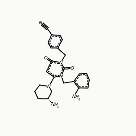 N#Cc1ccc(Cn2c(=O)cc(N3CCC[C@@H](N)C3)n(Cc3ccccc3N)c2=O)cc1